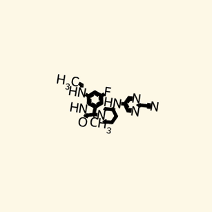 CCNc1cc(F)cc2c1NC(=O)[C@]2(C)N1CCCC(Nc2cnc(C#N)nc2)C1